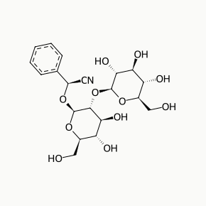 N#C[C@@H](O[C@@H]1O[C@H](CO)[C@@H](O)[C@H](O)[C@H]1O[C@@H]1O[C@H](CO)[C@@H](O)[C@H](O)[C@H]1O)c1ccccc1